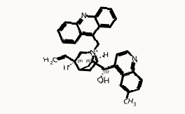 C=C[C@H]1C[N+]2(Cc3c4ccccc4nc4ccccc34)CCC1C[C@@H]2[C@@H](O)c1ccnc2ccc(C)cc12